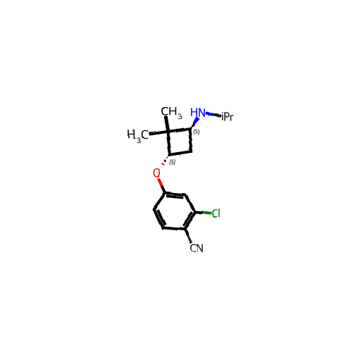 CC(C)N[C@H]1C[C@H](Oc2ccc(C#N)c(Cl)c2)C1(C)C